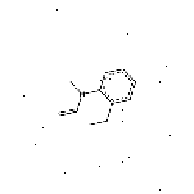 C=CN(C)c1ccccc1CC